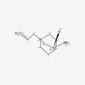 C=CC[N+]12CCC(CC1)[C@@H](N)C2